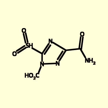 NC(=O)c1nc([SH](=O)=O)n(C(=O)O)n1